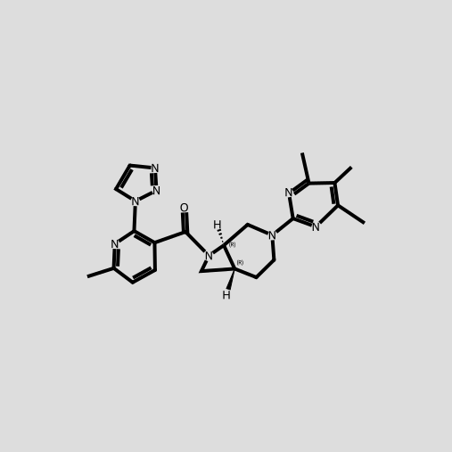 Cc1ccc(C(=O)N2C[C@H]3CCN(c4nc(C)c(C)c(C)n4)C[C@@H]32)c(-n2ccnn2)n1